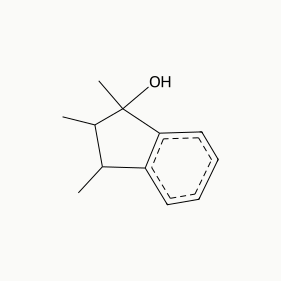 CC1c2ccccc2C(C)(O)C1C